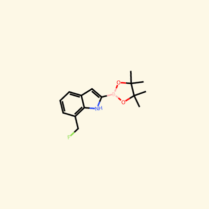 CC1(C)OB(c2cc3cccc(CF)c3[nH]2)OC1(C)C